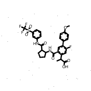 COc1ccc(-c2cc(C(=O)NC3CCCC3C(=O)Nc3cccc(S(=O)(=O)C(F)(F)F)c3)c(C(C)C(=O)O)cc2F)cc1